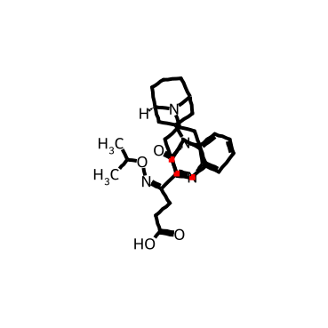 CC(C)O/N=C(/CCC(=O)O)c1nc2ccccc2n(C2CC3CCC[C@H](C2)N3C2CC3CCCC(C3)C2)c1=O